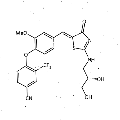 COc1cc(/C=C2\SC(NC[C@H](O)CO)=NC2=O)ccc1Oc1ccc(C#N)cc1C(F)(F)F